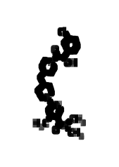 Cc1cc(N2CCC(CC3CCN(C(=O)C(O)c4cccc(Cl)c4)CC3)CC2)ncc1C(=O)N(C)C